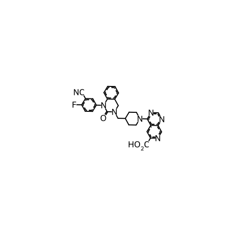 N#Cc1cc(N2C(=O)N(CC3CCN(c4ncnc5cnc(C(=O)O)cc45)CC3)Cc3ccccc32)ccc1F